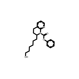 O=C(Oc1ccccc1)N1c2ncccc2CCC1CCCCCCO